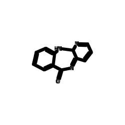 O=C1N=C2C=CC=NC2Nc2ccccc21